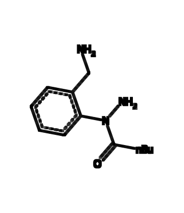 CCCCC(=O)N(N)c1ccccc1CN